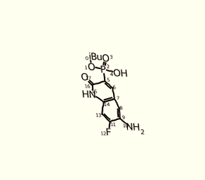 CCC(C)OP(=O)(O)c1cc2cc(N)c(F)cc2[nH]c1=O